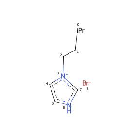 CC(C)CC[n+]1cc[nH]c1.[Br-]